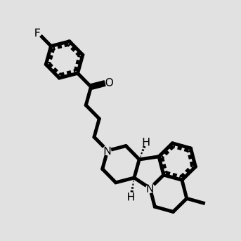 CC1CCN2c3c1cccc3[C@@H]1CN(CCCC(=O)c3ccc(F)cc3)CC[C@@H]12